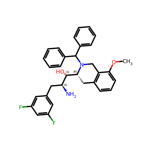 COc1cccc2c1CN(C(c1ccccc1)c1ccccc1)[C@@H]([C@@H](O)[C@@H](N)Cc1cc(F)cc(F)c1)C2